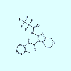 Cc1ccccc1NC(=O)c1c(NC(=O)C(F)(F)C(F)(F)F)sc2c1CCOC2